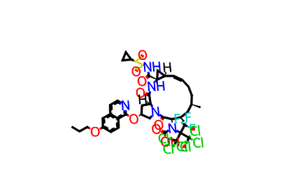 CCCOc1ccc2c(O[C@@H]3C[C@H]4C(=O)N[C@]5(C(=O)NS(=O)(=O)C6CC6)C[C@H]5/C=C\CC[C@@H](C)C[C@@H](C)[C@H](N(C(=O)O)C(C(F)(F)F)(C(Cl)(Cl)Cl)C(Cl)(Cl)Cl)C(=O)N4C3)nccc2c1